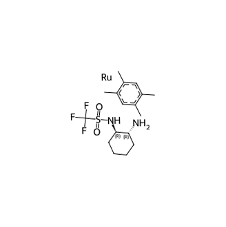 Cc1cc(C)c(C)cc1C.N[C@@H]1CCCC[C@H]1NS(=O)(=O)C(F)(F)F.[Ru]